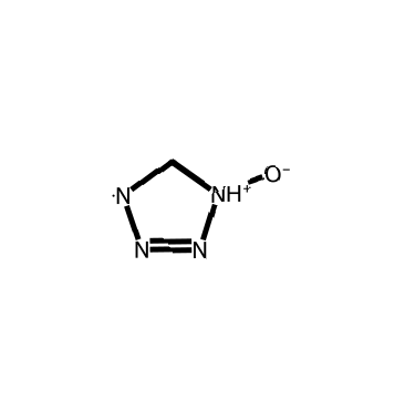 [O-][NH+]1C[N]N=N1